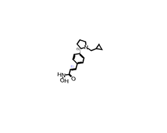 O=C(/C=C/c1ccc([C@@H]2CCCN2CC2CC2)cc1)NO